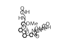 COc1nc(-c2cccc(-c3cccc(-c4ccn5c(=O)c(CNCC6CCC(=O)N6)c(OC)nc5c4)c3Cl)c2Cl)ccc1CNCC1CCC(=O)N1